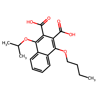 CCCCOc1c(C(=O)O)c(C(=O)O)c(OC(C)C)c2ccccc12